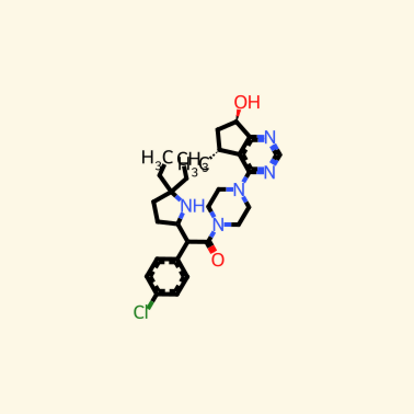 CCC1(CC)CCC(C(C(=O)N2CCN(c3ncnc4c3[C@H](C)C[C@H]4O)CC2)c2ccc(Cl)cc2)N1